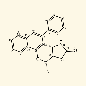 C[C@H](Oc1nc(-c2ccccc2)cc2ncccc12)[C@H]1CNC(=O)C1